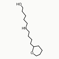 OCCCCCNCCCCC1CCCCO1